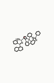 c1ccc(-c2nc3cccc4c3n2-c2ccccc2C42c3ccccc3-c3c(C4N=C(c5cccc6ccccc56)c5ccccc5N4)cccc32)cc1